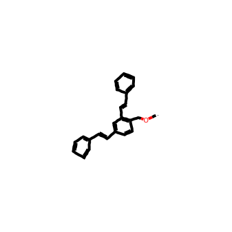 [CH2]OCc1ccc(/C=C/c2ccccc2)cc1/C=C/c1ccccc1